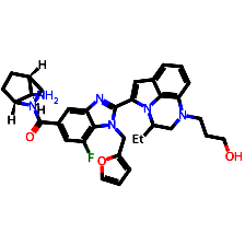 CCC1CN(CCCO)c2cccc3cc(-c4nc5cc(C(=O)N6C[C@H]7CC[C@@H]6[C@@H]7N)cc(F)c5n4Cc4ccco4)n1c23